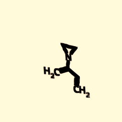 C=CC(=C)N1CC1